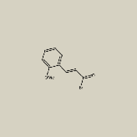 COc1ccccc1C=CC(=O)Br